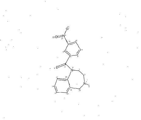 CN1CCN(C(=O)c2cccc([N+](=O)[O-])c2)c2ccccc2C1